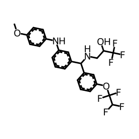 COc1ccc(Nc2cccc(C(NCC(O)C(F)(F)F)c3cccc(OC(F)(F)C(F)F)c3)c2)cc1